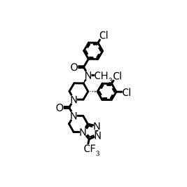 CN(C(=O)c1ccc(Cl)cc1)[C@@H]1CCN(C(=O)N2CCn3c(nnc3C(F)(F)F)C2)C[C@H]1c1ccc(Cl)c(Cl)c1